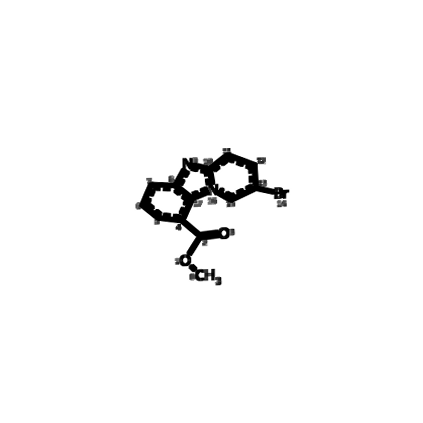 COC(=O)c1cccc2nc3ccc(Br)cn3c12